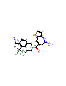 CCCN(Cc1ccc(CN)c(C(F)(F)F)c1)C(=O)C1=Cc2sccc2N=C(N)C1